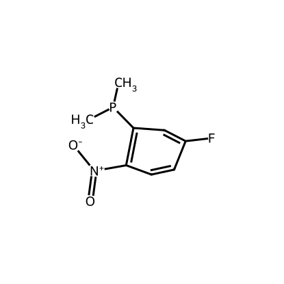 CP(C)c1cc(F)ccc1[N+](=O)[O-]